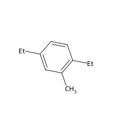 [CH2]Cc1ccc(C[CH2])c(C)c1